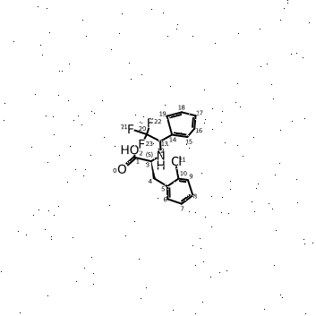 O=C(O)[C@H](Cc1ccccc1Cl)NC(c1ccccc1)C(F)(F)F